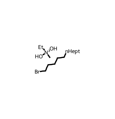 CCCCCCCCCCCCBr.CC[N+](C)(O)O